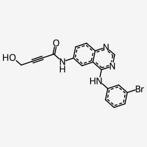 O=C(C#CCO)Nc1ccc2ncnc(Nc3cccc(Br)c3)c2c1